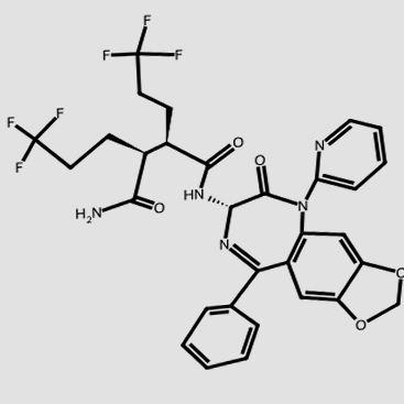 NC(=O)[C@@H](CCC(F)(F)F)[C@@H](CCC(F)(F)F)C(=O)N[C@H]1N=C(c2ccccc2)c2cc3c(cc2N(c2ccccn2)C1=O)OCO3